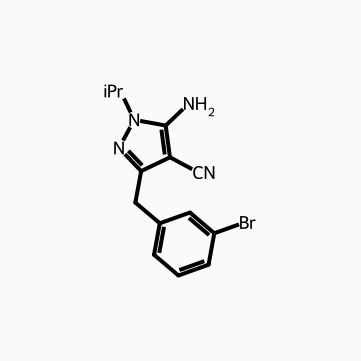 CC(C)n1nc(Cc2cccc(Br)c2)c(C#N)c1N